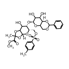 COC(=O)C1(C)OC2C(O)[C@H](O[C@@H]3OC4COC(c5ccccc5)O[C@@H]4[C@H](O)C3O)[C@H](COS(=O)(=O)c3ccc(C)cc3)O[C@@H]2O1